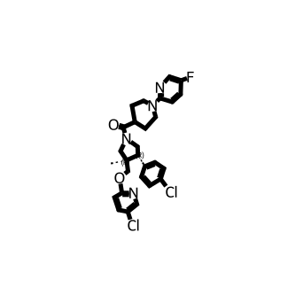 C[C@]1(COc2ccc(Cl)cn2)CN(C(=O)C2CCN(c3ccc(F)cn3)CC2)C[C@@H]1c1ccc(Cl)cc1